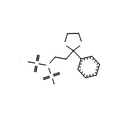 CS(=O)(=O)N(CCC1(c2ccccc2)OCCO1)S(=O)(=O)C(F)(F)F